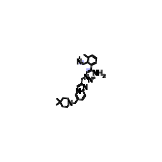 C=NN(/C=C(\N)c1cccc(C)c1/C=N\C)Cc1cn2cc(CN3CCC(C)(C)CC3)ccc2n1